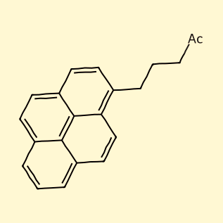 CC(=O)CCCc1ccc2ccc3cccc4ccc1c2c34